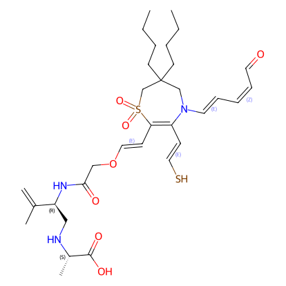 C=C(C)[C@H](CN[C@@H](C)C(=O)O)NC(=O)CO/C=C/C1=C(/C=C/S)N(/C=C/C=C\C=O)CC(CCCC)(CCCC)CS1(=O)=O